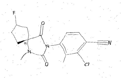 Cc1c(N2C(=O)N(C)[C@@]3(CCC(F)C3)C2=O)ccc(C#N)c1Cl